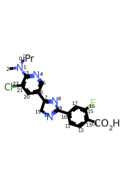 CC(C)N(C)c1ncc(C2=NC(c3ccc(C(=O)O)c(F)c3)=NC2)cc1Cl